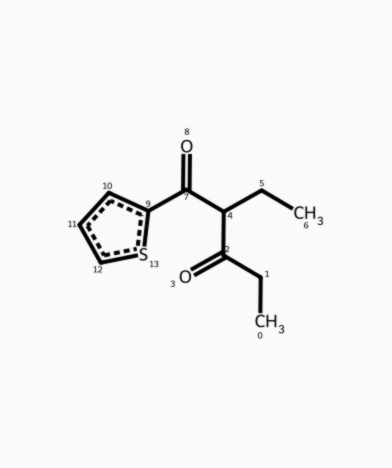 CCC(=O)C(CC)C(=O)c1cccs1